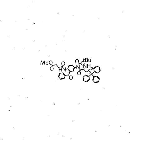 COC(=O)CCC(=O)Nc1ccc(N(C(=O)OC(C)(C)C)C(=O)[C@@H](N)CSC(c2ccccc2)(c2ccccc2)c2ccccc2)cc1C(=O)c1ccccc1